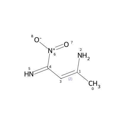 C/C(N)=C/C(=N)[N+](=O)[O-]